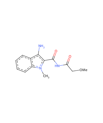 COCC(=O)NC(=O)c1c(N)c2ccccc2n1C